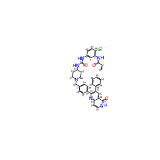 C=CC(=O)Nc1cc(NC(=O)NC2CCN(Cc3ccc(-c4nc5cc[nH]c(=O)c5cc4-c4ccccc4)cc3)CC2)ccc1Cl